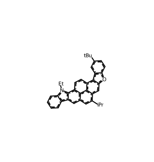 CCn1c2ccccc2c2cc3cc(C(C)C)c4cc5oc6ccc(C(C)(C)C)cc6c5c5ccc(c3c45)c21